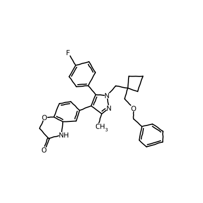 Cc1nn(CC2(COCc3ccccc3)CCC2)c(-c2ccc(F)cc2)c1-c1ccc2c(c1)NC(=O)CO2